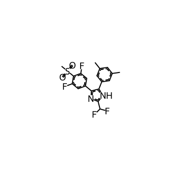 Cc1cc(C)cc(-c2[nH]c(C(F)F)nc2-c2cc(F)c(S(C)(=O)=O)c(F)c2)c1